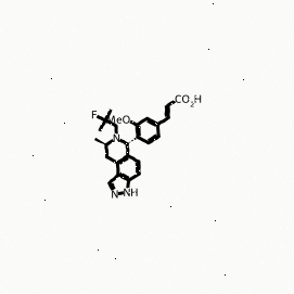 COc1cc(/C=C/C(=O)O)ccc1[C@@H]1c2ccc3[nH]ncc3c2C[C@@H](C)N1CC(C)(C)F